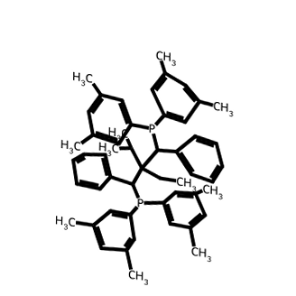 CCC(C(C)C)(C(c1ccccc1)P(c1cc(C)cc(C)c1)c1cc(C)cc(C)c1)C(c1ccccc1)P(c1cc(C)cc(C)c1)c1cc(C)cc(C)c1